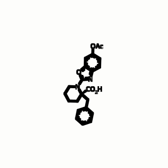 CC(=O)Oc1ccc2nc(N3CCCC[C@]3(Cc3ccccc3)C(=O)O)oc2c1